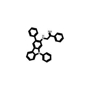 N=C(CNc1cc2c(cc1-c1ccccc1)c1ccccc1n2-c1ccccc1)c1ccccc1